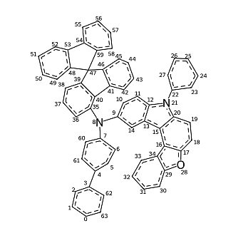 c1ccc(-c2ccc(N(c3ccc4c(c3)c3c5c(ccc3n4-c3ccccc3)oc3ccccc35)c3cccc4c3-c3ccccc3C43c4ccccc4-c4ccccc43)cc2)cc1